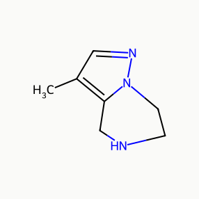 Cc1cnn2c1CNCC2